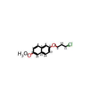 COc1ccc2cc(OCCCCl)ccc2c1